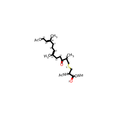 COC(=O)[C@H](CSCC(C)C(=O)CCC(C)=CCCC(C)=CCOC(C)=O)NC(C)=O